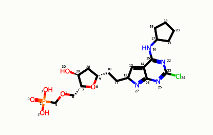 O=P(O)(O)COC[C@H]1O[C@@H](CCC2C=c3c(NC4CCCC4)nc(Cl)nc3=N2)C[C@@H]1O